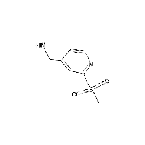 CS(=O)(=O)c1cc(C[NH])ccn1